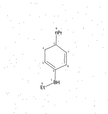 CCBC1=CCC(CCC)C=C1